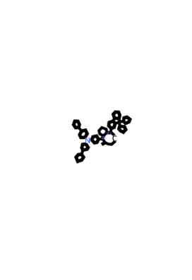 C=C1CCCCC/C(c2ccc3c(c2)C(c2ccccc2)(c2ccccc2)c2ccccc2-3)=C2/CCCC/C2=C/1c1ccc(N(c2ccc(-c3ccccc3)cc2)c2ccc(-c3ccccc3)cc2)cc1